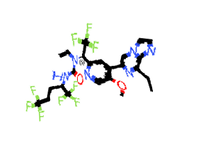 CCc1nc(-c2cc([C@H](N(CC)C(=O)NC(CCC(F)(F)F)C(F)(F)F)C(F)(F)F)ncc2OC)cn2ccnc12